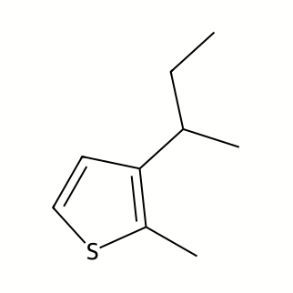 CCC(C)c1ccsc1C